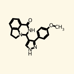 COc1ccc(-c2n[nH]cc2C2NC(=O)c3cccc4c3N2CC4)cc1